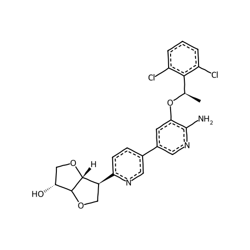 C[C@@H](Oc1cc(-c2ccc([C@H]3COC4[C@H](O)CO[C@@H]43)nc2)cnc1N)c1c(Cl)cccc1Cl